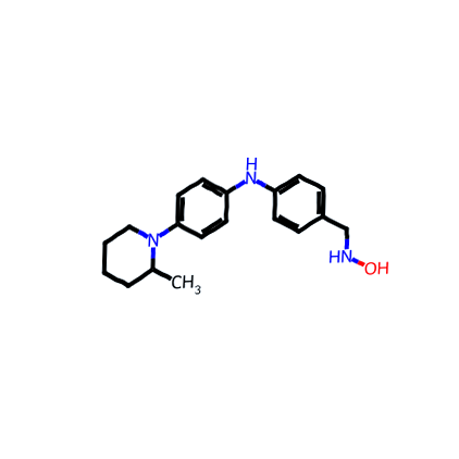 CC1CCCCN1c1ccc(Nc2ccc(CNO)cc2)cc1